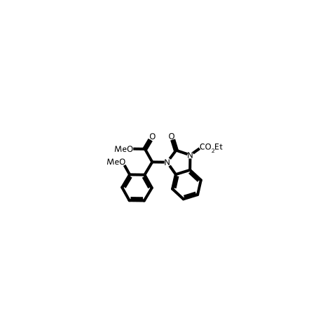 CCOC(=O)n1c(=O)n(C(C(=O)OC)c2ccccc2OC)c2ccccc21